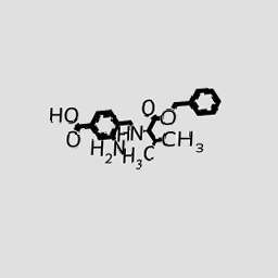 CC(C)[C@H](NCc1ccc(C(=O)O)cc1N)C(=O)OCc1ccccc1